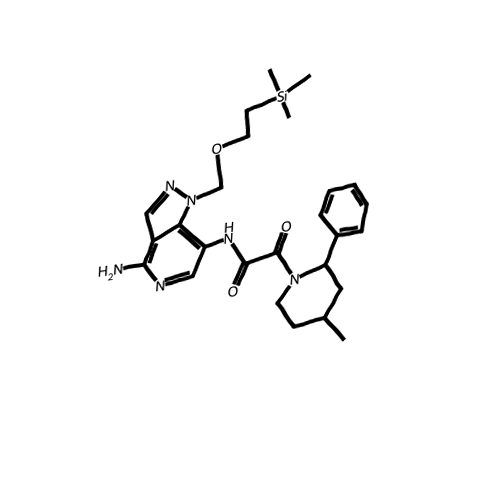 CC1CCN(C(=O)C(=O)Nc2cnc(N)c3cnn(COCC[Si](C)(C)C)c23)C(c2ccccc2)C1